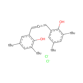 CC(C)(C)c1cc([CH]=[Cr+2]=[CH]c2cc(C(C)(C)C)cc(C(C)(C)C)c2O)c(O)c(C(C)(C)C)c1.[Cl-].[Cl-]